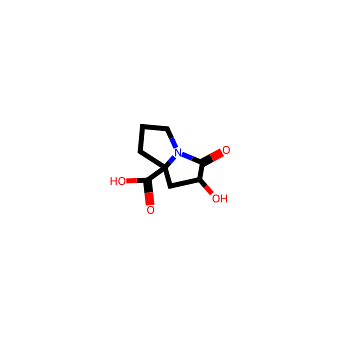 O=C1C(O)CC2(C(=O)O)CCCN12